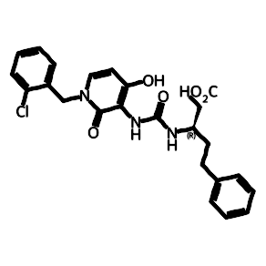 O=C(O)C[C@@H](CCc1ccccc1)NC(=O)Nc1c(O)ccn(Cc2ccccc2Cl)c1=O